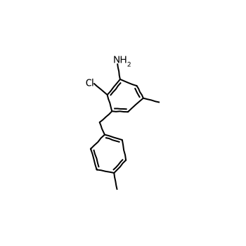 Cc1ccc(Cc2cc(C)cc(N)c2Cl)cc1